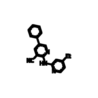 CCc1ccnc(Nc2ncc(-c3ccccc3)cc2C#N)c1